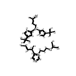 CC(Br)=CCB(c1cc(C(C)(C)C)cs1)c1cc(C(C)(C)C)cs1.CCCC(C)c1cncn1CCCOC(C)C